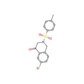 Cc1ccc(S(=O)(=O)N2CC(=O)c3cc(Br)ccc3C2)cc1